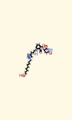 O=C1CCC(N2C(=O)c3cccc(NCCCc4cn(CCCCCCCCCO)nn4)c3C2=O)C(=O)N1